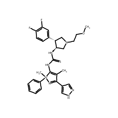 COCCN1C[C@@H](NC(=S)NC2=C(C)C(c3cn[nH]c3)=N[N+]2(C)c2ccccc2)[C@H](c2ccc(F)c(F)c2)C1